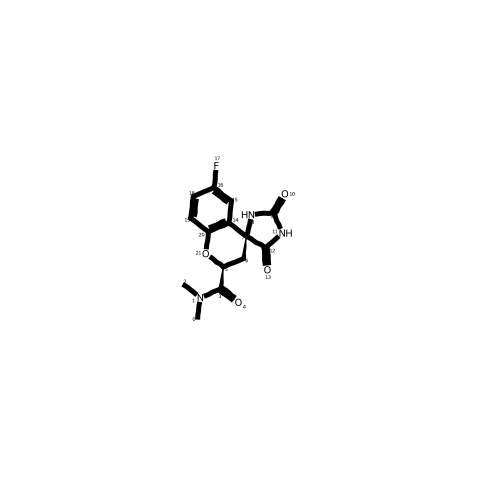 CN(C)C(=O)[C@@H]1C[C@]2(NC(=O)NC2=O)c2cc(F)ccc2O1